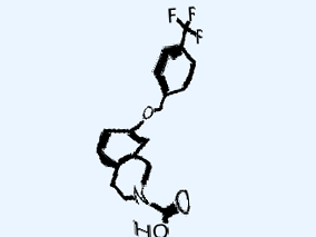 O=C(O)N1CCc2ccc(OCc3ccc(C(F)(F)F)cc3)cc2C1